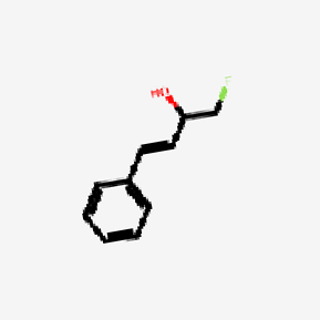 OC(/C=C/c1ccccc1)CF